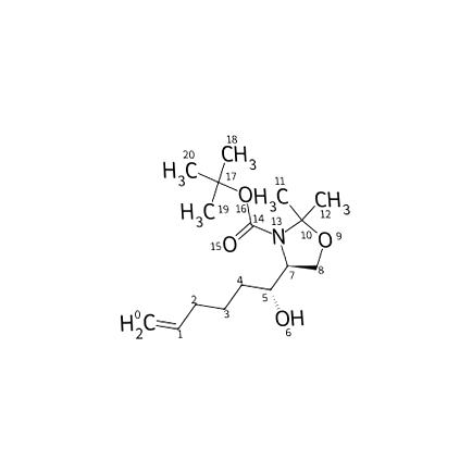 C=CCCC[C@@H](O)[C@@H]1COC(C)(C)N1C(=O)OC(C)(C)C